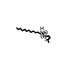 [CH2]c1ccc(S(=O)(=O)NCCCCCCCCCCCC)s1